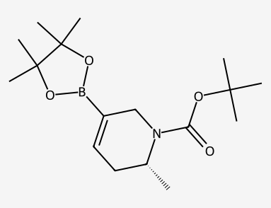 C[C@@H]1CC=C(B2OC(C)(C)C(C)(C)O2)CN1C(=O)OC(C)(C)C